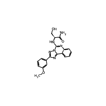 COc1cccc(-c2nc3c4ccccc4nc(N[C@@H](CO)C(N)=O)n3n2)c1